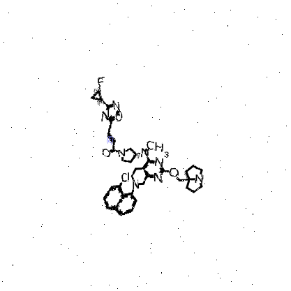 CN(c1nc(OCC23CCCN2CCC3)nc2c1CCN(c1cccc3cccc(Cl)c13)C2)[C@@H]1CCN(C(=O)/C=C/c2nc([C@H]3C[C@@H]3F)no2)C1